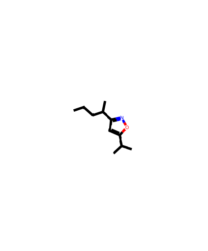 CCCC(C)c1cc(C(C)C)on1